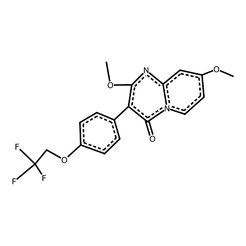 COc1ccn2c(=O)c(-c3ccc(OCC(F)(F)F)cc3)c(OC)nc2c1